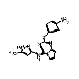 Cc1cc(Nc2nc(Sc3ccc(N)cc3)nc3cccn23)n[nH]1